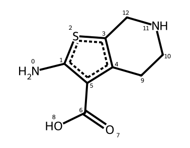 Nc1sc2c(c1C(=O)O)CCNC2